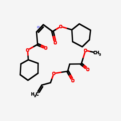 C=CCOC(=O)CC(=O)OC.O=C(/C=C\C(=O)OC1CCCCC1)OC1CCCCC1